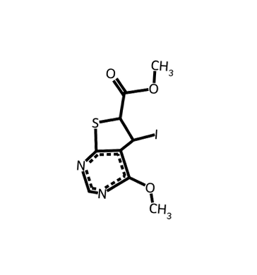 COC(=O)C1Sc2ncnc(OC)c2C1I